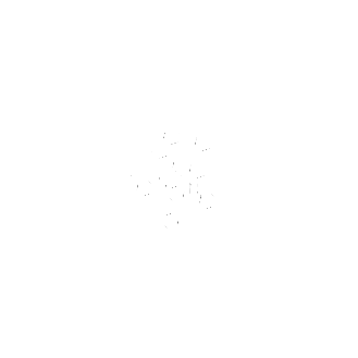 CC(C)(C)c1cc(N2c3cc(C(C)(C)C)c(-c4ccccc4)cc3B3c4cc(-c5ccccc5)c(C(C)(C)C)cc4N(c4cc(C(C)(C)C)cc(C(C)(C)C)c4)c4cc(-c5ccccc5)cc2c43)cc(C(C)(C)C)c1